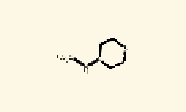 O=C(O)NN1CCSCC1